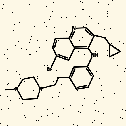 CN1CCN(CCc2cccc(Nc3c(CC4CC4)cnc4ccc(Br)cc34)c2)CC1